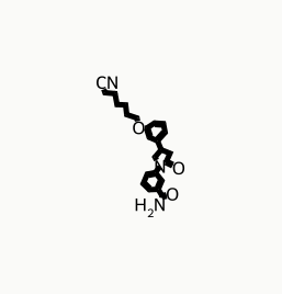 N#CCCCCCCOc1cccc(C2CC(=O)N(c3cccc(C(N)=O)c3)C2)c1